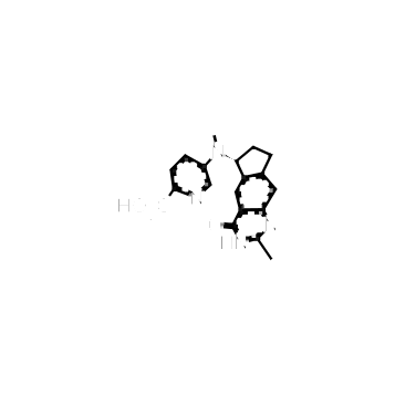 Cc1nc2cc3c(cc2c(=O)[nH]1)[C@@H](N(C)c1ccc(C(=O)O)nc1)CC3